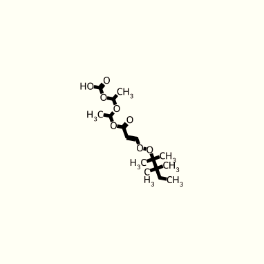 CCC(C)(C)C(C)(C)OOC=CC(=O)OC(C)OC(C)OC(=O)O